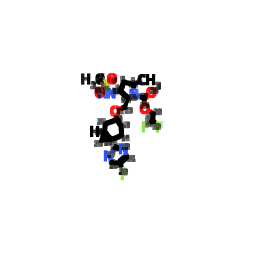 C[C@@H]1C[C@H](NS(C)(=O)=O)[C@H](CO[C@H]2CC[C@@]3(c4ncc(F)cn4)C[C@H]3C2)N1C(=O)OCC(F)F